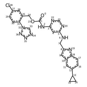 O=C(Nc1cc(NCc2cn3cc(C4CC4)ccc3n2)ncn1)OCc1cc(Cl)ccc1-n1cnnn1